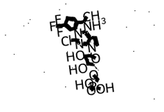 CC(Nc1nc(Cl)nc2c1ccn2[C@@H]1O[C@H](COCP(=O)(O)O)[C@@H](O)[C@H]1O)c1ccc(C(F)(F)F)cc1